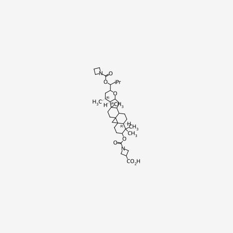 CC(C)C(OC(=O)N1CCC1)C1C[C@@H](C)[C@H]2C(CC3C4CC[C@H]5C(C)(C)C(OC(=O)N6CC(C(=O)O)C6)CCC56CC46CCC32C)O1